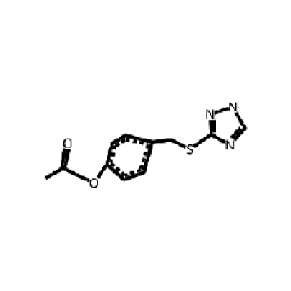 CC(=O)Oc1ccc(CSC2=N[N]C=N2)cc1